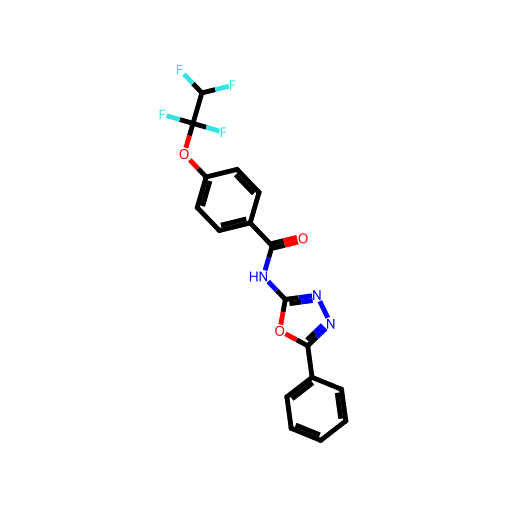 O=C(Nc1nnc(-c2ccccc2)o1)c1ccc(OC(F)(F)C(F)F)cc1